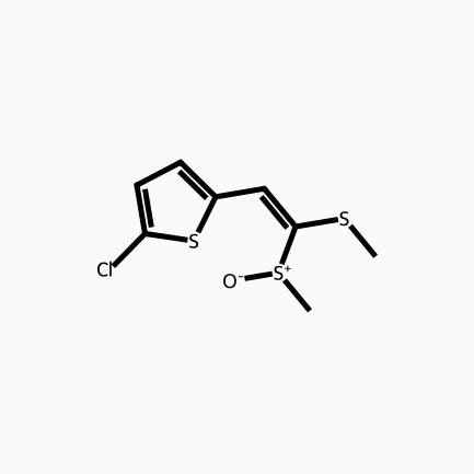 CSC(=Cc1ccc(Cl)s1)[S+](C)[O-]